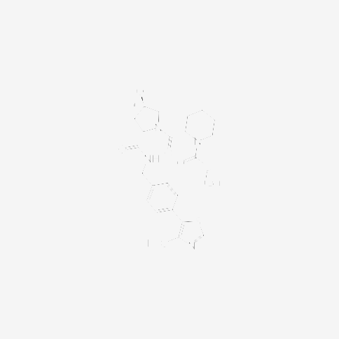 Cc1ncsc1-c1ccc(CNC(=O)[C@@H]2C[C@@H](O)CN2C(=O)[C@@H]2CCCCN2C(=O)OC(C)(C)C)cc1